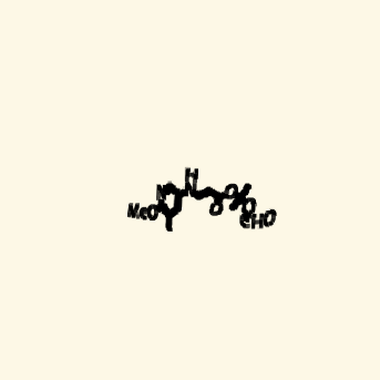 COc1ncc(N/C=C/C(=O)OC(C)(C)OC=O)cc1C